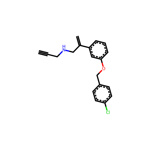 C#CCNCC(=C)c1cccc(OCc2ccc(Cl)cc2)c1